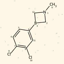 CN1CB(c2ccc(Cl)c(Cl)c2)C1